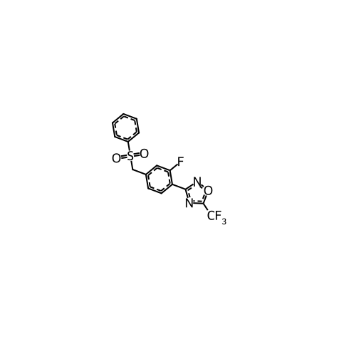 O=S(=O)(Cc1ccc(-c2noc(C(F)(F)F)n2)c(F)c1)c1ccccc1